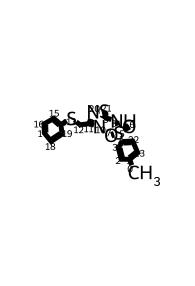 Cc1ccc(S(=O)(=O)Nc2nc(CSc3ccccc3)ns2)cc1